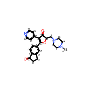 CCN1CCN(CC2OC(c3ccc4c(c3)CCC4=O)=C(c3ccncc3)C2=O)CC1